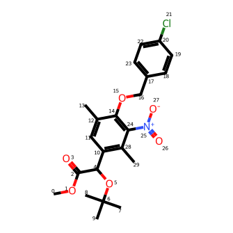 COC(=O)C(OC(C)(C)C)c1cc(C)c(OCc2ccc(Cl)cc2)c([N+](=O)[O-])c1C